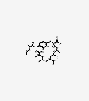 CCCC(C)C(=O)Oc1ccc(C[C@H](NCC(C)OC(=O)CC(C)CC)C(=O)O)cc1OC(=O)C(C)CCC